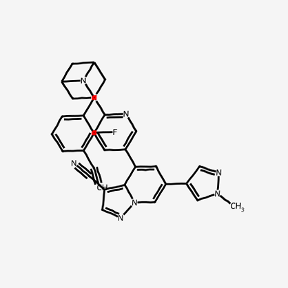 C#Cc1cccc(CN2C3CC2CN(c2ccc(-c4cc(-c5cnn(C)c5)cn5ncc(C#N)c45)cn2)C3)c1F